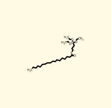 CCCCCCCCCCCCCCCCCC(=O)SCCC[Si](OCC)(OCC)OCC